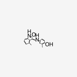 Cc1cc(NC=C2C(=O)Nc3cccc(C)c32)ccc1O